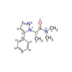 CC(C(=O)N(C)C)n1nccc1-c1ccccc1